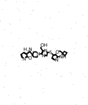 N[C@@H]1c2cccnc2OC12CCN(c1ncc(Sc3ccnc4c3OCC3(CCC3)N4)nc1CO)CC2